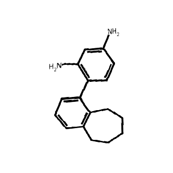 Nc1ccc(-c2cccc3c2CCCCC3)c(N)c1